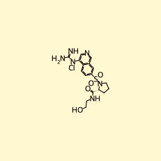 N=C(N)N(Cl)c1cncc2cc(S(=O)(=O)N3CCC[C@@H]3C(=O)NCCO)ccc12